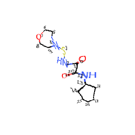 O=C(NSN1CCOCC1)C(=O)NC1CCCCC1